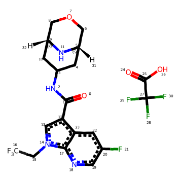 O=C(NC1C[C@H]2COC[C@@H](C1)N2)c1cn(CC(F)(F)F)c2ncc(F)cc12.O=C(O)C(F)(F)F